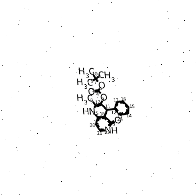 CC1=C(OC(=O)OC(C)(C)C)C(c2ccccc2)c2c(cc[nH]c2=O)N1